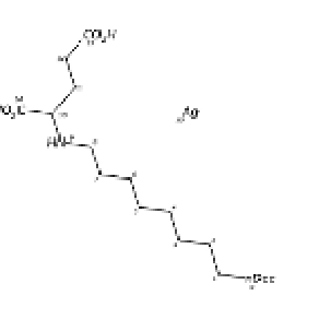 CCCCCCCCCCCCCCCCCCNC(CCC(=O)O)C(=O)O.[Ag]